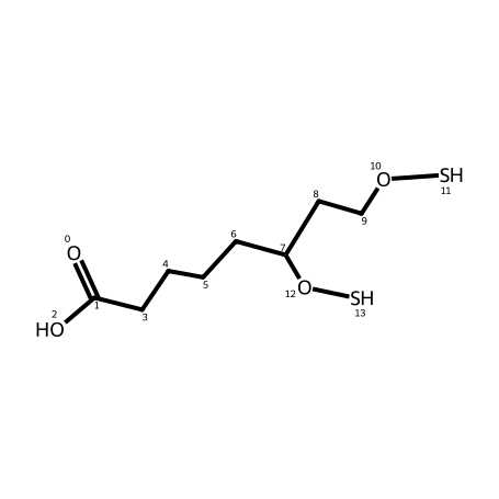 O=C(O)CCCCC(CCOS)OS